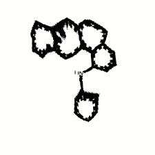 c1ccc(Nc2cccc3ccc4cc5ccccc5cc4c23)cc1